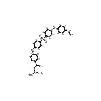 CC(C)OC(=O)c1ccc(Oc2ccc(S(=O)(=O)c3ccc(Oc4ccc(C=O)cc4)cc3)cc2)cc1